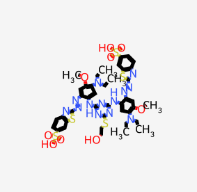 CCN(CC)c1cc(Nc2nc(Nc3cc(N(CC)CC)c(OC)cc3/N=N/c3nc4ccc(S(=O)(=O)O)cc4s3)nc(SCCO)n2)c(/N=N/c2nc3ccc(S(=O)(=O)O)cc3s2)cc1OC